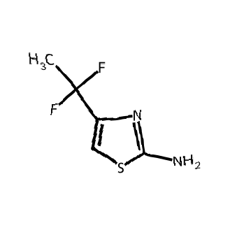 CC(F)(F)c1csc(N)n1